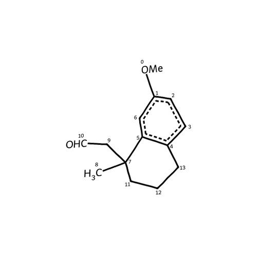 COc1ccc2c(c1)C(C)(CC=O)CCC2